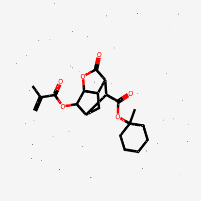 C=C(C)C(=O)OC1C2CC3C1OC(=O)C3C2C(=O)OC1(C)CCCCC1